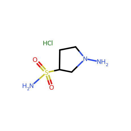 Cl.NN1CCC(S(N)(=O)=O)C1